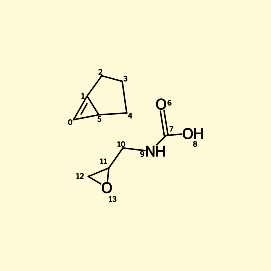 C1=C2CCCC12.O=C(O)NCC1CO1